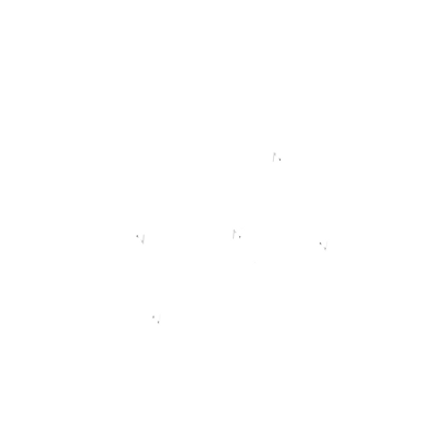 CN(C)c1cncc(Cc2cnccn2)n1